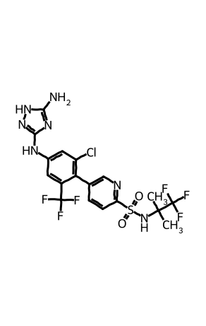 CC(C)(NS(=O)(=O)c1ccc(-c2c(Cl)cc(Nc3n[nH]c(N)n3)cc2C(F)(F)F)cn1)C(F)(F)F